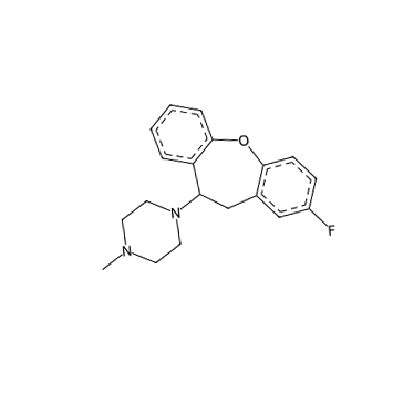 CN1CCN(C2Cc3cc(F)ccc3Oc3ccccc32)CC1